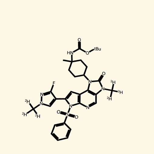 [2H]C([2H])([2H])n1cc(-c2cc3c(ncc4c3n(C3CCC(C)(NC(=O)OC(C)(C)C)CC3)c(=O)n4C([2H])([2H])[2H])n2S(=O)(=O)c2ccccc2)c(F)n1